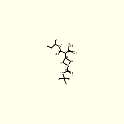 CCC(C)OC(=O)C(C(=O)O)C1CN(C(=O)OC(C)(C)C)C1